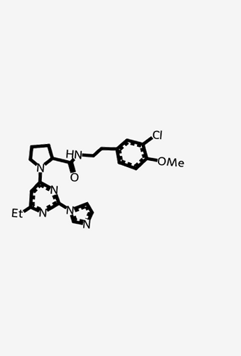 CCc1cc(N2CCCC2C(=O)NCCc2ccc(OC)c(Cl)c2)nc(-n2ccnc2)n1